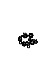 O=C1CCC(N2Cc3cc(O[C@H]4CCN(Cc5ccc(-c6ccccc6)cn5)C4)ccc3C2=O)C(=O)N1